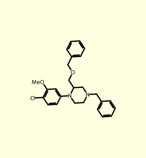 COc1cc(N2CCN(Cc3ccccc3)CC2COCc2ccccc2)ccc1Cl